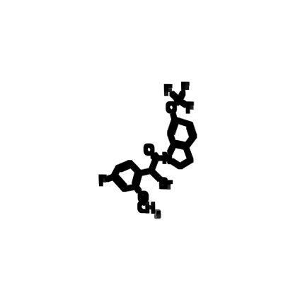 COc1cc(F)ccc1C(Br)C(=O)N1CCc2ccc(OC(F)(F)F)cc21